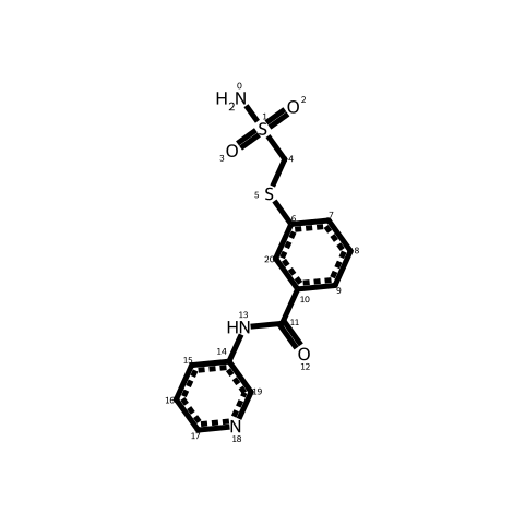 NS(=O)(=O)CSc1cccc(C(=O)Nc2cccnc2)c1